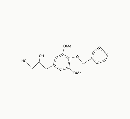 COc1cc(CC(O)CO)cc(OC)c1OCc1ccccc1